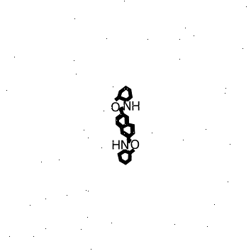 CC1CCCCC1NC(=O)c1ccc2cc(C(=O)NC3CCCCC3C)ccc2c1